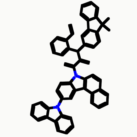 C=Cc1ccccc1C(C(=C)C(=C)n1c2ccc(-n3c4ccccc4c4ccccc43)cc2c2c3ccccc3ccc21)c1ccc2c(c1)-c1ccccc1C2(C)C